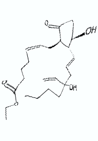 C=CC(O)(C/C=C/[C@H]1[C@H](O)CC(=O)[C@@H]1C/C=C\CCCC(=O)OCC)CCCC